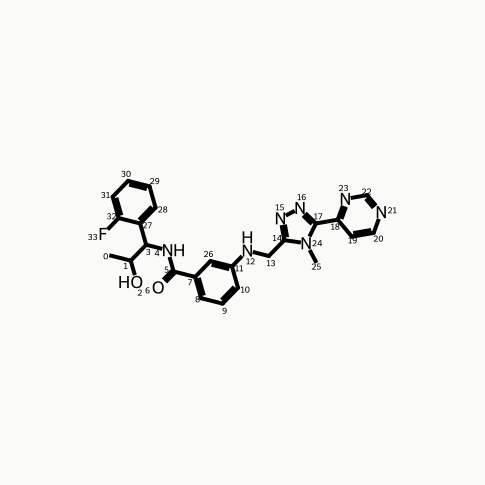 CC(O)C(NC(=O)c1cccc(NCc2nnc(-c3ccncn3)n2C)c1)c1ccccc1F